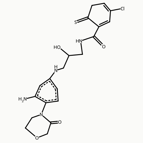 Nc1cc(NCC(O)CNC(=O)C2=CC(Cl)=CCC2=S)ccc1N1CCOCC1=O